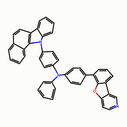 c1ccc(N(c2ccc(-c3cccc4c3oc3ccncc34)cc2)c2ccc(-n3c4ccccc4c4ccc5ccccc5c43)cc2)cc1